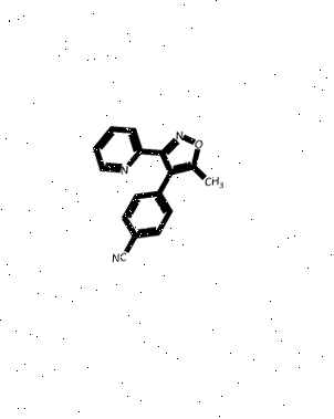 Cc1onc(-c2ccccn2)c1-c1ccc(C#N)cc1